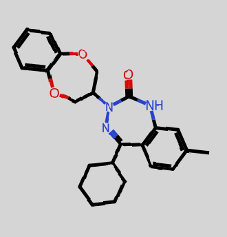 Cc1ccc2c(c1)NC(=O)N(C1COc3ccccc3OC1)N=C2C1CCCCC1